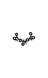 c1ccc(-c2cc(-c3ccc(-c4nc(-c5ccc(-c6cc(-c7ccccc7)c7ccccc7n6)cc5)c5ccccc5n4)cc3)nc3ccccc23)cc1